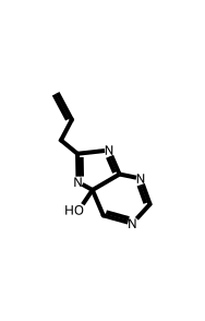 C=CCC1=NC2(O)C=NC=NC2=N1